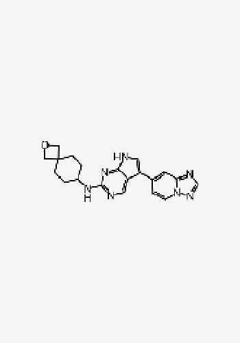 c1nc2cc(-c3c[nH]c4nc(NC5CCC6(CC5)COC6)ncc34)ccn2n1